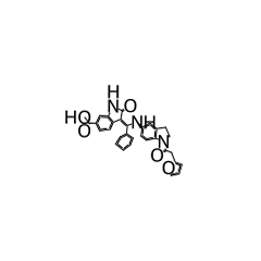 O=C1Nc2cc(C(=O)O)ccc2/C1=C(/Nc1ccc2c(c1)CCN2C(=O)Cc1ccco1)c1ccccc1